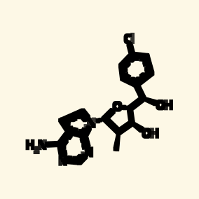 C[C@@H]1[C@H](O)[C@@H]([C@H](O)c2ccc(Cl)cc2)O[C@H]1n1ccc2c(N)ncnc21